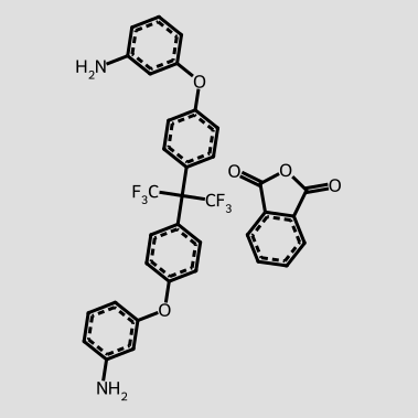 Nc1cccc(Oc2ccc(C(c3ccc(Oc4cccc(N)c4)cc3)(C(F)(F)F)C(F)(F)F)cc2)c1.O=C1OC(=O)c2ccccc21